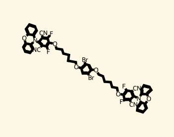 N#Cc1c(F)c(OCCCCCCOc2cc(Br)c(OCCCCCCOc3c(F)c(C#N)c(N4c5ccccc5Oc5ccccc54)c(C#N)c3F)cc2Br)c(F)c(C#N)c1N1c2ccccc2Oc2ccccc21